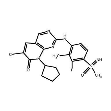 Cc1c(Nc2ncc3cc(Cl)c(=O)n(C4CCCC4)c3n2)ccc(S(C)(=N)=O)c1F